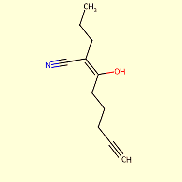 C#CCCC/C(O)=C(\C#N)CCC